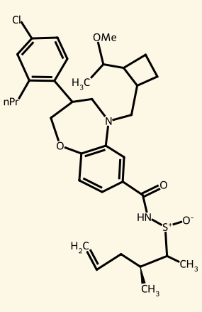 C=CC[C@H](C)C(C)[S+]([O-])NC(=O)c1ccc2c(c1)N(CC1CCC1C(C)OC)CC(c1ccc(Cl)cc1CCC)CO2